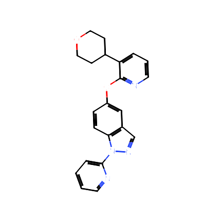 c1ccc(-n2ncc3cc(Oc4ncccc4C4CCOCC4)ccc32)nc1